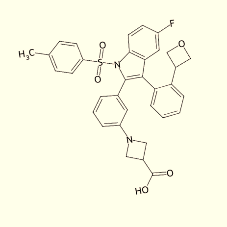 Cc1ccc(S(=O)(=O)n2c(-c3cccc(N4CC(C(=O)O)C4)c3)c(-c3ccccc3C3COC3)c3cc(F)ccc32)cc1